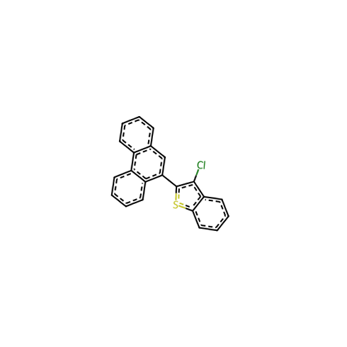 Clc1c(-c2cc3ccccc3c3ccccc23)sc2ccccc12